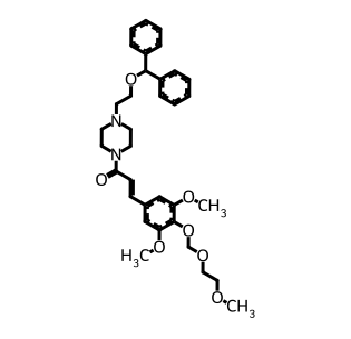 COCCOCOc1c(OC)cc(C=CC(=O)N2CCN(CCOC(c3ccccc3)c3ccccc3)CC2)cc1OC